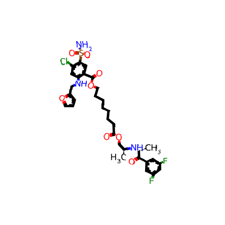 C[C@H](COC(=O)CCCCCCCOC(=O)c1cc(S(N)(=O)=O)c(Cl)cc1NCc1ccco1)N[C@H](C)C(=O)c1cc(F)cc(F)c1